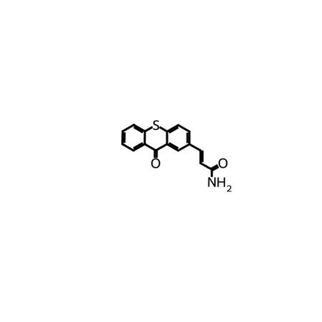 NC(=O)C=Cc1ccc2sc3ccccc3c(=O)c2c1